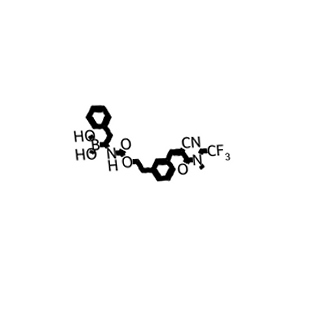 CN(CC(F)(F)F)C(=O)C(C#N)=Cc1cccc(CCOC(=O)NC(Cc2ccccc2)B(O)O)c1